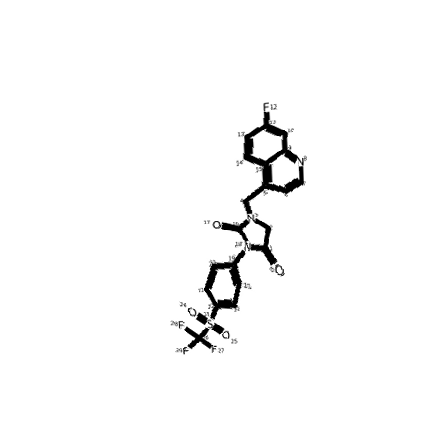 O=C1CN(Cc2ccnc3cc(F)ccc23)C(=O)N1c1ccc(S(=O)(=O)C(F)(F)F)cc1